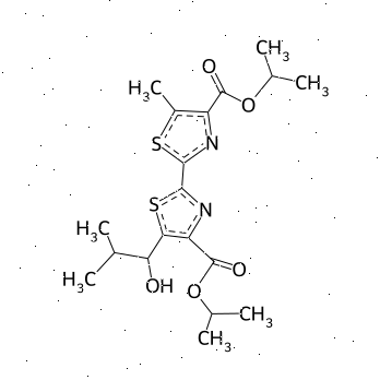 Cc1sc(-c2nc(C(=O)OC(C)C)c(C(O)C(C)C)s2)nc1C(=O)OC(C)C